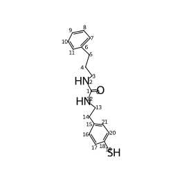 O=C(NCCCc1ccccc1)NCCc1ccc(S)cc1